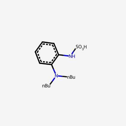 CCCCN(CCCC)c1ccccc1NS(=O)(=O)O